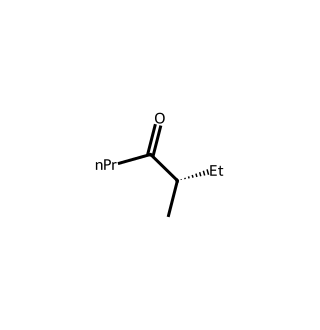 CCCC(=O)[C@@H](C)CC